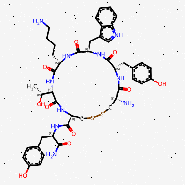 C[C@@H](O)[C@@H]1NC(=O)[C@H](CCCCN)NC(=O)[C@@H](Cc2c[nH]c3ccccc23)NC(=O)[C@H](Cc2ccc(O)cc2)NC(=O)[C@H](N)CSSC[C@@H](C(=O)N[C@H](Cc2ccc(O)cc2)C(N)=O)NC1=O